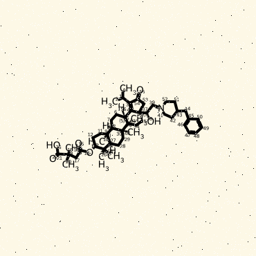 CC(C)C1=C2[C@H]3CC[C@@H]4[C@@]5(C)CC[C@H](OC(=O)CC(C)(C)C(=O)O)C(C)(C)[C@@H]5CC[C@@]4(C)[C@]3(C)CC[C@@]2([C@H](O)CN2CCC(Cc3ccccc3)CC2)CC1=O